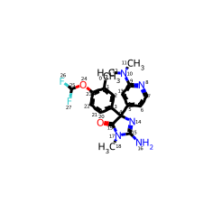 Cc1cc(C2(c3ccnc(N(C)C)c3)N=C(N)N(C)C2=O)ccc1OC(F)F